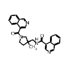 CC1(CNC(=O)c2cncc3ccccc23)CCN(C(=O)c2cncc3ccccc23)C1